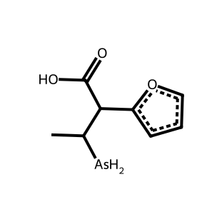 CC([AsH2])C(C(=O)O)c1ccco1